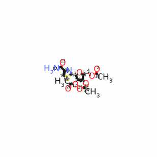 CC(=O)OC[C@H]1O[C@@H](c2nc(C(N)=O)cs2)[C@H](OC(C)=O)[C@@H]1OC(C)=O